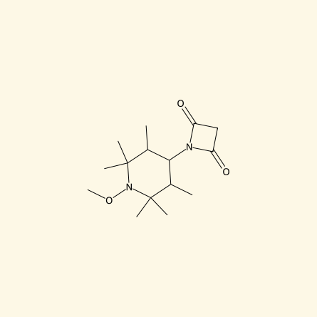 CON1C(C)(C)C(C)C(N2C(=O)CC2=O)C(C)C1(C)C